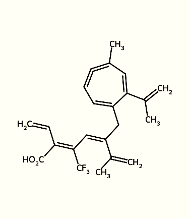 C=C/C(C(=O)O)=C(\C=C(\CC1=CC=C=C(C)C=C1C(=C)C)C(=C)C)C(F)(F)F